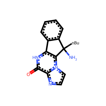 CCCCC1(N)c2ccccc2-c2[nH]c(=O)c3nccn3c21